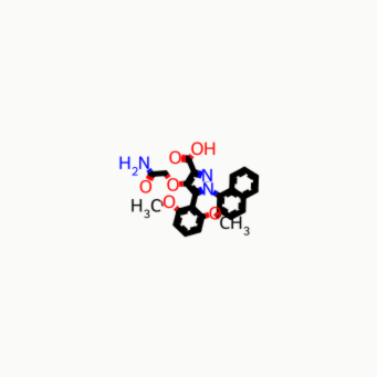 COc1cccc(OC)c1-c1c(OCC(N)=O)c(C(=O)O)nn1-c1cccc2ccccc12